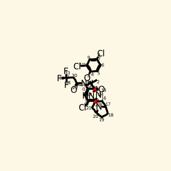 CC(C)(Oc1ccc(Cl)cc1Cl)C(=O)NC1CC2CCC(C1)N2c1ncc(NC(=O)CC(F)(F)F)cc1Cl